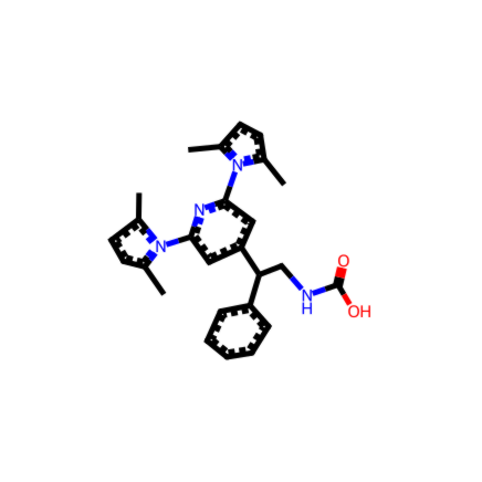 Cc1ccc(C)n1-c1cc(C(CNC(=O)O)c2ccccc2)cc(-n2c(C)ccc2C)n1